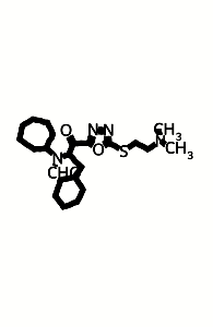 CN(C)CCSc1nnc(C(=O)C(CC2CCCCC2)N(C=O)C2CCCCCC2)o1